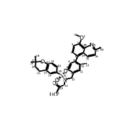 COc1ccc(-c2ccc(CN(CC(=O)O)S(=O)(=O)c3ccc4c(c3)CCC(C)(C)O4)cc2C)c2ccc(C)nc12